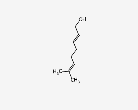 CC(C)=CCC/C=C/CO